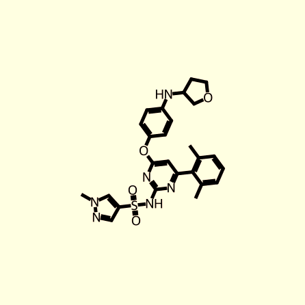 Cc1cccc(C)c1-c1cc(Oc2ccc(NC3CCOC3)cc2)nc(NS(=O)(=O)c2cnn(C)c2)n1